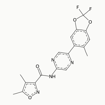 Cc1cc2c(cc1-c1cnc(NC(=O)c3noc(C)c3C)cn1)OC(F)(F)O2